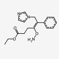 CCOC(=O)CCC(ON)=C(Cn1ccnc1)c1ccccc1